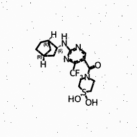 O=C(c1cnc(N[C@@H]2C[C@@H]3CC[C@@H]2C3)nc1C(F)(F)F)N1CCS(O)(O)CC1